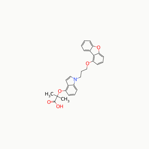 CC(C)(Oc1cccc2c1ccn2CCCOc1cccc2oc3ccccc3c12)C(=O)O